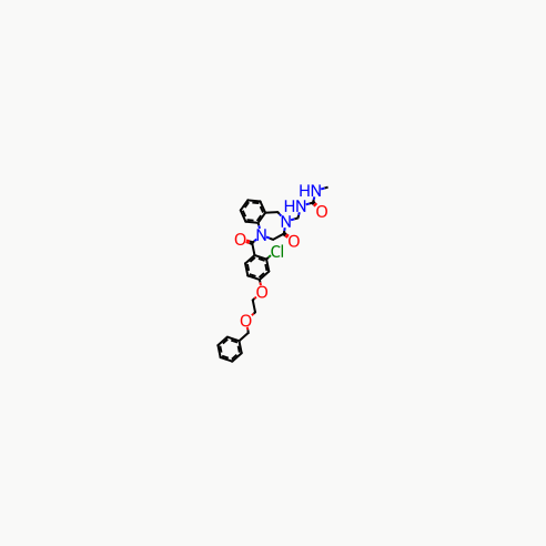 CNC(=O)NCN1Cc2ccccc2N(C(=O)c2ccc(OCCOCc3ccccc3)cc2Cl)CC1=O